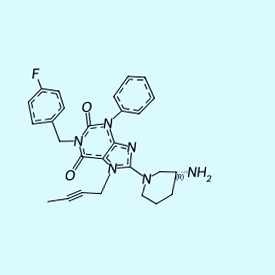 CC#CCn1c(N2CCC[C@@H](N)C2)nc2c1c(=O)n(Cc1ccc(F)cc1)c(=O)n2-c1ccccc1